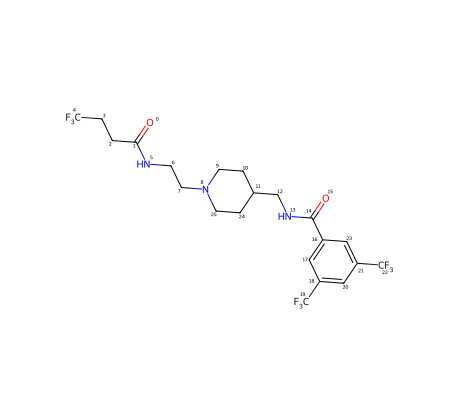 O=C(CCC(F)(F)F)NCCN1CCC(CNC(=O)c2cc(C(F)(F)F)cc(C(F)(F)F)c2)CC1